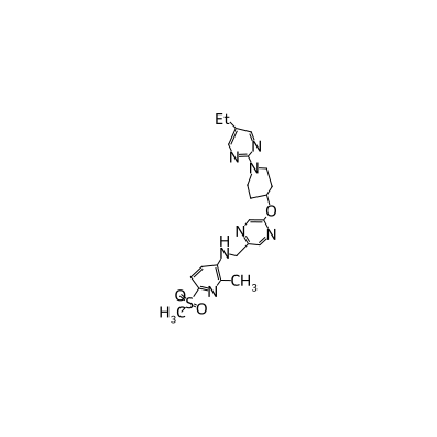 CCc1cnc(N2CCC(Oc3cnc(CNc4ccc(S(C)(=O)=O)nc4C)cn3)CC2)nc1